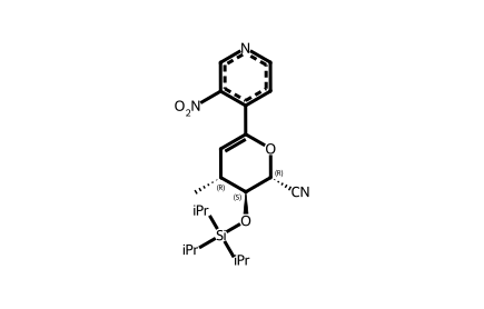 CC(C)[Si](O[C@H]1[C@H](C)C=C(c2ccncc2[N+](=O)[O-])O[C@@H]1C#N)(C(C)C)C(C)C